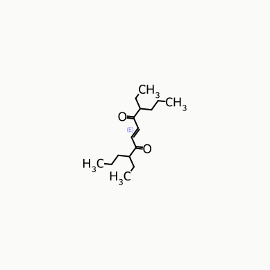 CCCC(CC)C(=O)/C=C/C(=O)C(CC)CCC